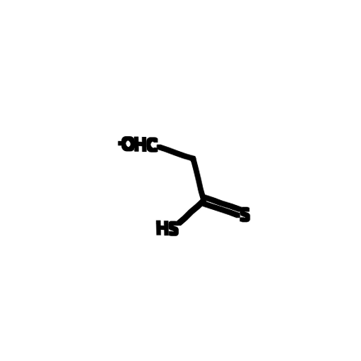 O=[C]CC(=S)S